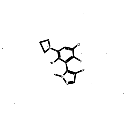 Cn1ncc(Br)c1-c1c(F)c(Cl)cc(N2CCC2)c1C#N